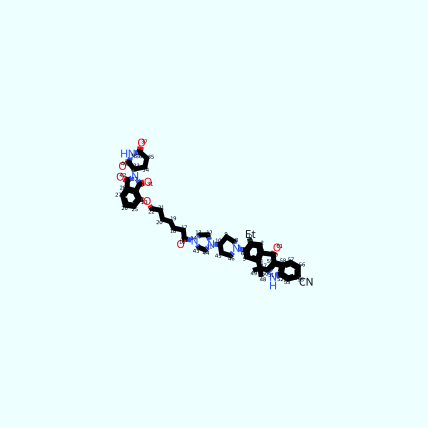 CCc1cc2c(cc1N1CCC(N3CCN(C(=O)CCCCCCOc4cccc5c4C(=O)N(C4CCC(=O)NC4=O)C5=O)CC3)CC1)C(C)(C)c1[nH]c3cc(C#N)ccc3c1C2=O